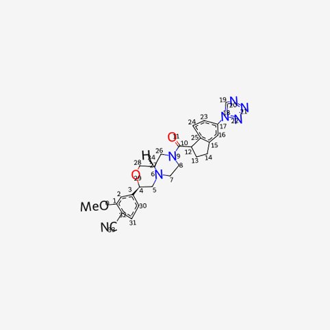 COc1cc([C@@H]2CN3CCN(C(=O)C4CCc5cc(-n6cnnn6)ccc54)C[C@H]3CO2)ccc1C#N